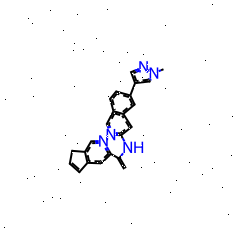 C=C(Nc1cc2cc(-c3cnn(C)c3)ccc2cn1)c1cc2c(cn1)CC=C2